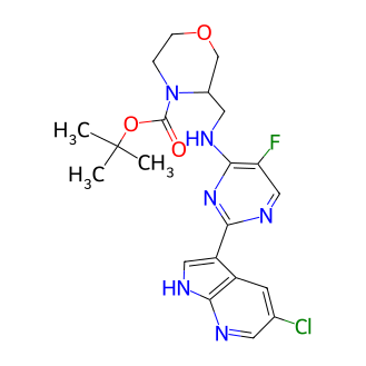 CC(C)(C)OC(=O)N1CCOCC1CNc1nc(-c2c[nH]c3ncc(Cl)cc23)ncc1F